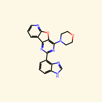 c1cc(-c2nc(N3CCOCC3)c3oc4ncccc4c3n2)c2nc[nH]c2c1